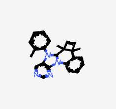 Cc1ccccc1N1c2cncnc2N2c3ccccc3C3(C)C=CC3(C)C12